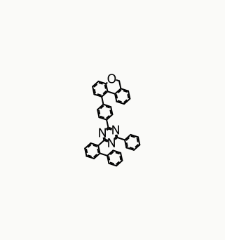 c1ccc(-c2nc(-c3ccc(-c4cccc5c4-c4ccccc4CO5)cc3)nc(-c3ccccc3-c3ccccc3)n2)cc1